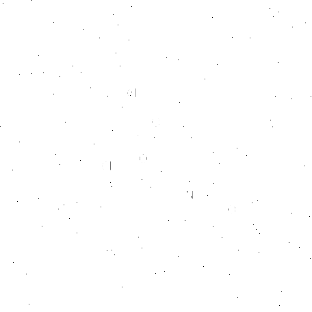 O=C(OCCN1CCOCC1)c1c(Cl)[c]ccc1Cl